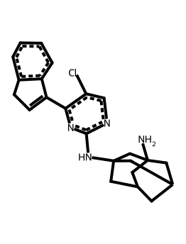 NC12CC3CC(C1)CC(Nc1ncc(Cl)c(C4=CCc5ccccc54)n1)(C3)C2